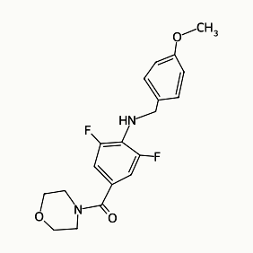 COc1ccc(CNc2c(F)cc(C(=O)N3CCOCC3)cc2F)cc1